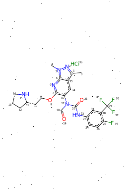 Cc1nn(C)c2nc(OCCC3CCCN3)c(N(C=O)C(=O)Nc3ccc(F)c(C(F)(F)F)c3)cc12.Cl